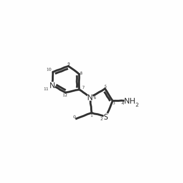 CC1SC(N)=CN1c1cccnc1